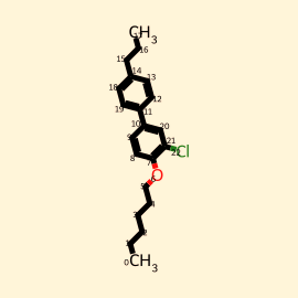 CCCCCCOc1ccc(-c2ccc(CCC)cc2)cc1Cl